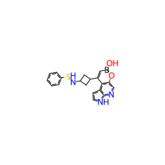 OB1C=C(C2CC(NSc3ccccc3)C2)c2c(cnc3[nH]ccc23)O1